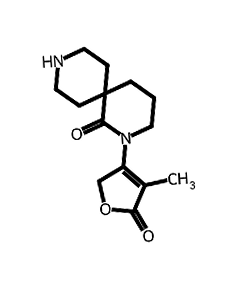 CC1=C(N2CCCC3(CCNCC3)C2=O)COC1=O